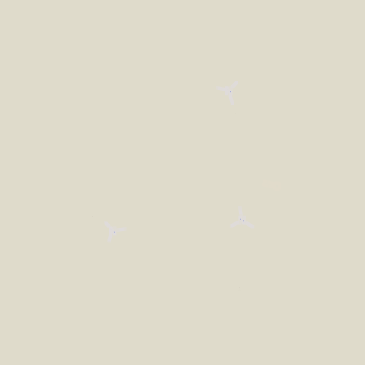 CCN(CC)c1ccc(C(=O)c2cc(-c3ccc(N(C)C)cc3)c3cc(C(C)=O)ccn23)cc1